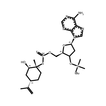 C=C(C)[C@H]1CC[C@@](C)(S[PH](=S)OC[C@H]2O[C@@H](n3cnc4c(N)ncnc43)CC2O[Si](C)(C)C(C)(C)C)[C@H](O)C1